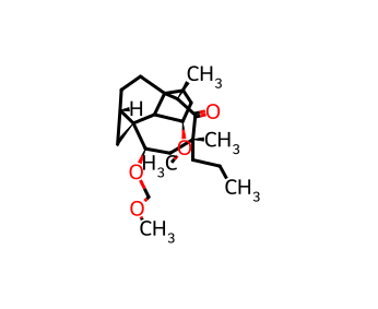 CCC[C@]1(C)C[C@@H](OCOC)[C@]23C[C@@H]2CCC2(CC[C@@H](OC)C23)[C@@H](C)C1=O